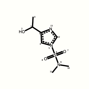 CC(O)c1cn(S(=O)(=O)N(C)C)cn1